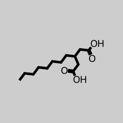 CCCCCCCCC(CC(=O)O)CC(=O)O